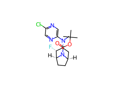 CN(c1cnc(Cl)cn1)[C@@H]1C[C@H]2CC[C@@H]([C@@H]1F)N2C(=O)OC(C)(C)C